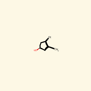 CCC1C[C@H](O)CC1C